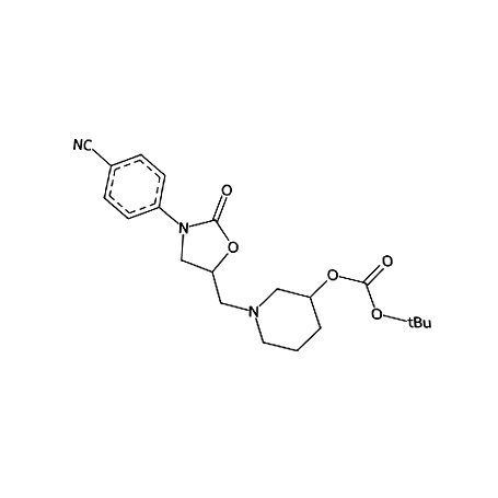 CC(C)(C)OC(=O)OC1CCCN(CC2CN(c3ccc(C#N)cc3)C(=O)O2)C1